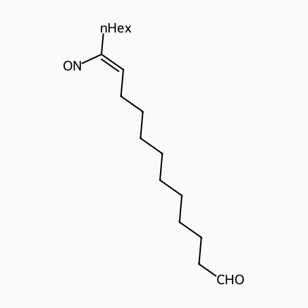 CCCCCCC(=CCCCCCCCCCC=O)N=O